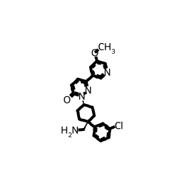 COc1cncc(-c2ccc(=O)n([C@H]3CC[C@@](CN)(c4cccc(Cl)c4)CC3)n2)c1